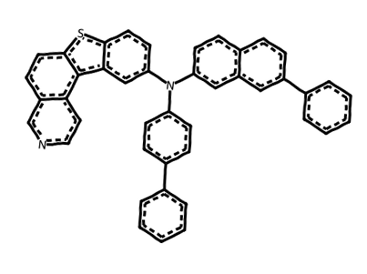 c1ccc(-c2ccc(N(c3ccc4ccc(-c5ccccc5)cc4c3)c3ccc4sc5ccc6cnccc6c5c4c3)cc2)cc1